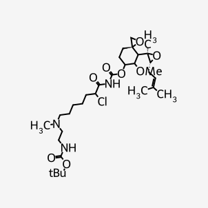 COC1C(OC(=O)NC(=O)C(Cl)CCCCCN(C)CCNC(=O)OC(C)(C)C)CC[C@]2(CO2)C1[C@@]1(C)O[C@@H]1CC=C(C)C